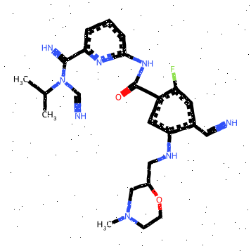 CC(C)N(C=N)C(=N)c1cccc(NC(=O)c2cc(NCC3CN(C)CCO3)c(C=N)cc2F)n1